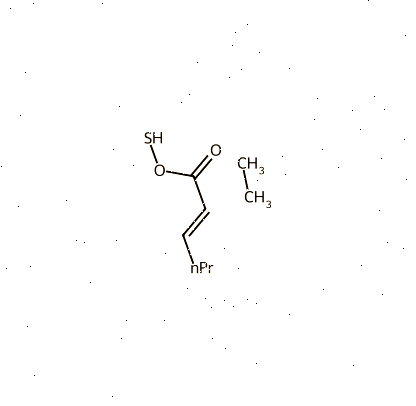 CC.CCCC=CC(=O)OS